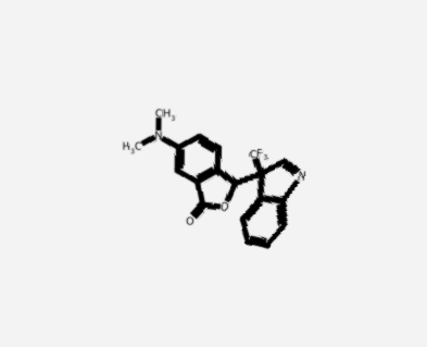 CN(C)c1ccc2c(c1)C(=O)OC2C1(C(F)(F)F)C=Nc2ccccc21